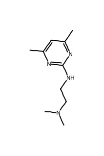 Cc1cc(C)nc(NCCN(C)C)n1